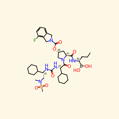 CCC[C@H](NC(=O)[C@@H]1C[C@@H](OC(=O)N2Cc3cccc(F)c3C2)CN1C(=O)[C@@H](NC(=O)N[C@H](CN(C)S(C)(=O)=O)C1CCCCC1)C1CCCCC1)B(O)O